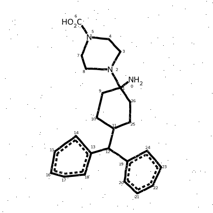 NC1(N2CCN(C(=O)O)CC2)CCC(C(c2ccccc2)c2ccccc2)CC1